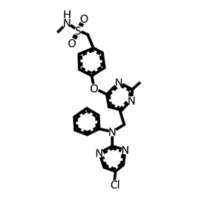 CNS(=O)(=O)Cc1ccc(Oc2cc(CN(c3ccccc3)c3ncc(Cl)cn3)nc(C)n2)cc1